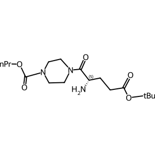 CCCOC(=O)N1CCN(C(=O)[C@@H](N)CCC(=O)OC(C)(C)C)CC1